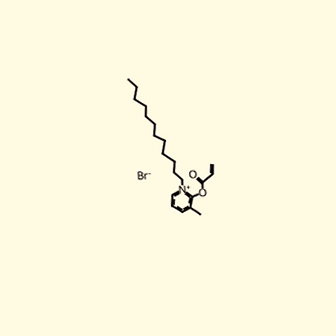 C=CC(=O)Oc1c(C)ccc[n+]1CCCCCCCCCCCC.[Br-]